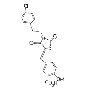 O=C(O)c1cc(/C=C2\SC(=O)N(CCc3ccc(Cl)cc3)C2=O)ccc1O